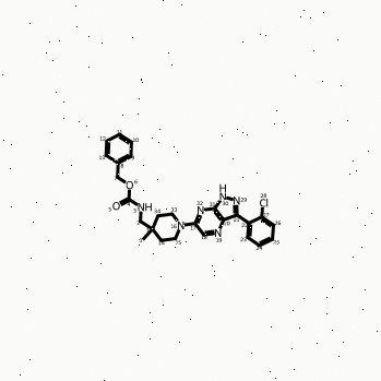 CC1(CNC(=O)OCc2ccccc2)CCN(c2cnc3c(-c4ccccc4Cl)n[nH]c3n2)CC1